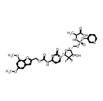 COc1cc(OC)c2oc(COC(=O)Nc3ccn([C@@H]4O[C@H](COP(=O)(NC(C)C(=O)O)Oc5cccnc5)[C@@H](O)C4(F)F)c(=O)n3)cc2c1